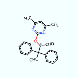 Cc1cc(C)nc(O[C@H](C=O)C(C=O)(c2ccccc2)c2ccccc2)n1